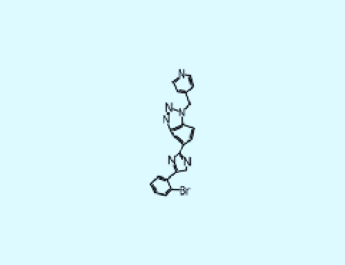 Brc1ccccc1C1=NC(c2ccc3c(c2)nnn3Cc2ccncc2)=NC1